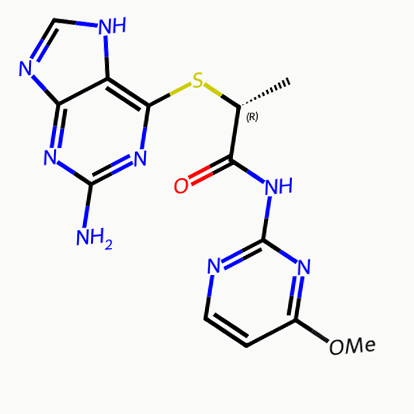 COc1ccnc(NC(=O)[C@@H](C)Sc2nc(N)nc3nc[nH]c23)n1